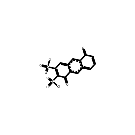 O=C1C=CC=c2cc3c(cc21)=CC(S(=O)(=O)Cl)=C(S(=O)(=O)Cl)C3=O